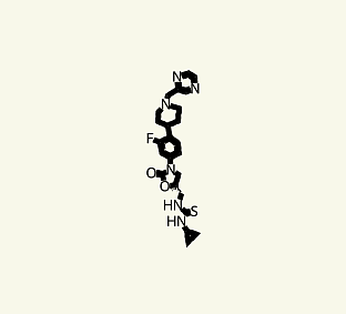 O=C1O[C@@H](CNC(=S)NC2CC2)CN1c1ccc(C2CCN(Cc3cnccn3)CC2)c(F)c1